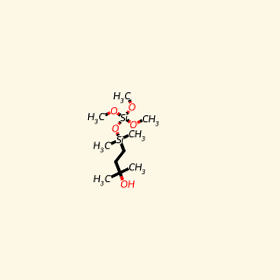 CO[Si](OC)(OC)O[Si](C)(C)CCC(C)(C)O